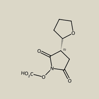 O=C(O)ON1C(=O)C[C@@H](C2CCCO2)C1=O